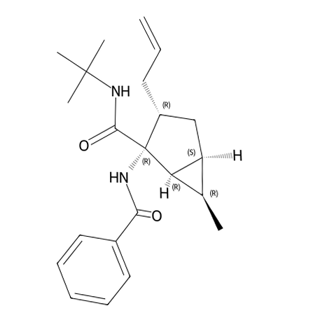 C=CC[C@@H]1C[C@H]2[C@@H](C)[C@H]2[C@@]1(NC(=O)c1ccccc1)C(=O)NC(C)(C)C